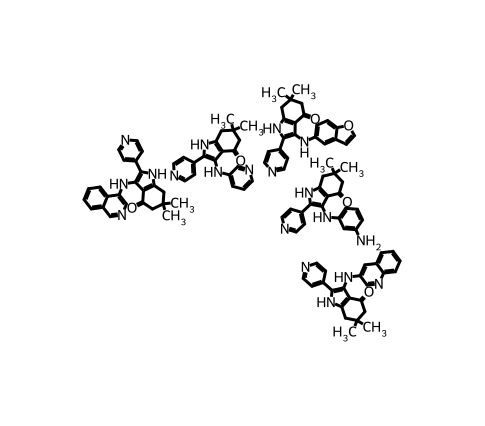 CC1(C)CC(=O)c2c([nH]c(-c3ccncc3)c2Nc2ccc3occc3c2)C1.CC1(C)CC(=O)c2c([nH]c(-c3ccncc3)c2Nc2cccc(N)c2)C1.CC1(C)CC(=O)c2c([nH]c(-c3ccncc3)c2Nc2cccnc2)C1.CC1(C)CC(=O)c2c([nH]c(-c3ccncc3)c2Nc2cnc3ccccc3c2)C1.CC1(C)CC(=O)c2c([nH]c(-c3ccncc3)c2Nc2cncc3ccccc23)C1